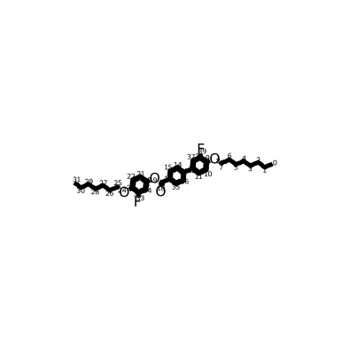 CCCCCCCCOc1ccc(-c2ccc(C(=O)Oc3ccc(OCCCCCCC)c(F)c3)cc2)cc1F